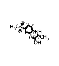 C[C@H](Nc1ccc(S(C)(=O)=O)cc1)C(=O)O